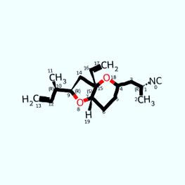 [C-]#[N+][C@H](C)CC1CC[C@@H]2O[C@@H]([C@H](C)C=C)C[C@]2(C=C)O1